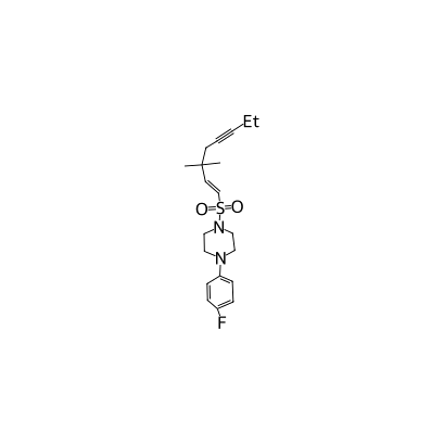 CCC#CCC(C)(C)C=CS(=O)(=O)N1CCN(c2ccc(F)cc2)CC1